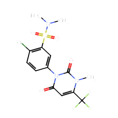 CN(C)S(=O)(=O)c1cc(-n2c(=O)cc(C(F)(F)F)n(C)c2=O)ccc1Cl